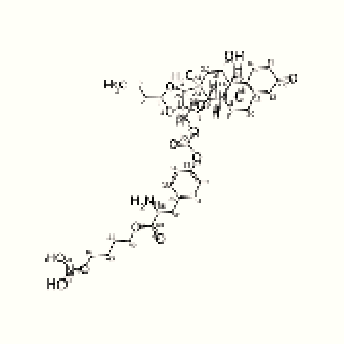 CCCC1O[C@@H]2C[C@H]3[C@@H]4CCC5=CC(=O)C=C[C@]5(C)[C@H]4[C@@H](O)C[C@]3(C)[C@]2(C(=O)COC(=O)Oc2ccc(CC(N)C(=O)OCCCCON(O)O)cc2)O1